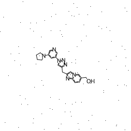 OCc1ccc2nc(Cc3cn(-c4cncc(N5CCCC5)c4)nn3)cn2c1